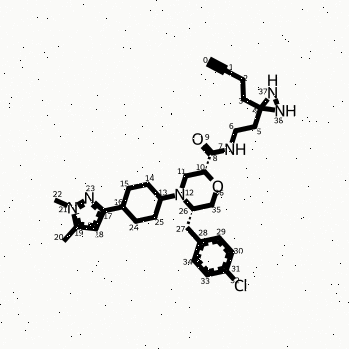 C#CCCC1(CCNC(=O)[C@H]2CN(C3CCC(c4cc(C)n(C)n4)CC3)[C@@H](Cc3ccc(Cl)cc3)CO2)NN1